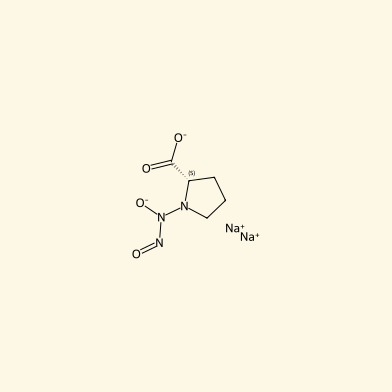 O=NN([O-])N1CCC[C@H]1C(=O)[O-].[Na+].[Na+]